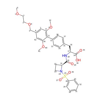 COCCOCc1cc(OC)c(-c2ccc(C[C@H](NC(=O)[C@@H]3CCN3S(=O)(=O)c3ccccc3)C(=O)O)cc2)c(OC)c1